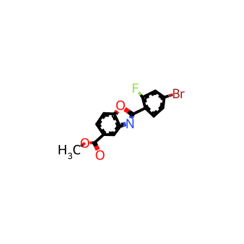 COC(=O)c1ccc2oc(-c3ccc(Br)cc3F)nc2c1